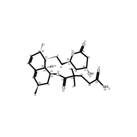 C[C@H]1C=C2C=C[C@H](C)[C@H](CC[C@@H]3C[C@@H](O)CC(=O)O3)[C@H]2[C@@H](OC(=O)C(C)(C)CCC(N)=O)C1